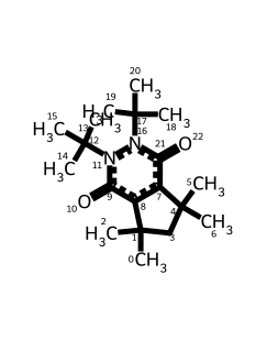 CC1(C)CC(C)(C)c2c1c(=O)n(C(C)(C)C)n(C(C)(C)C)c2=O